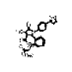 COC(=O)COc1ccccc1C1C(C(=O)C(C)(C)C)=C(O)C(=O)N1c1ccc(-c2ccon2)cc1